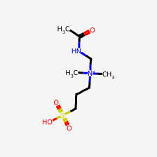 CC(=O)NC[N+](C)(C)CCCS(=O)(=O)O